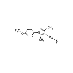 Cc1nn(-c2ccc(OC(F)(F)F)cc2)c(C)c1C#CSI